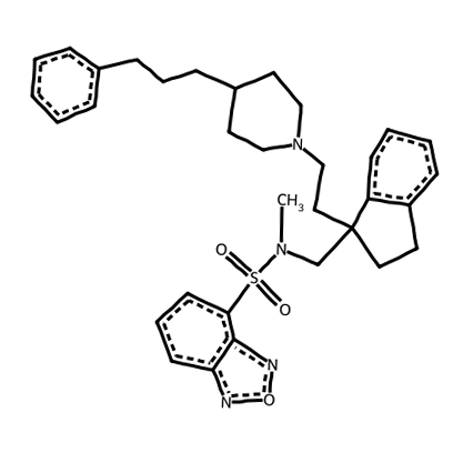 CN(CC1(CCN2CCC(CCCc3ccccc3)CC2)CCc2ccccc21)S(=O)(=O)c1cccc2nonc12